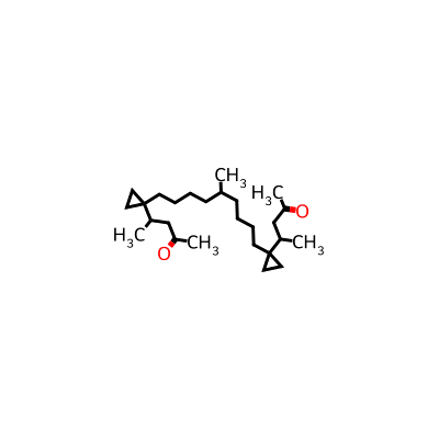 CC(=O)CC(C)C1(CCCCC(C)CCCCC2(C(C)CC(C)=O)CC2)CC1